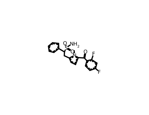 Cn1c(CC(c2ccccc2)S(N)(=O)=O)ccc1C(=O)c1ccc(F)cc1F